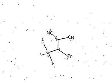 CC(C)C(C(C#N)C#N)[Si](C)(F)F